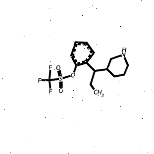 CCC(c1ccccc1OS(=O)(=O)C(F)(F)F)C1CCCNC1